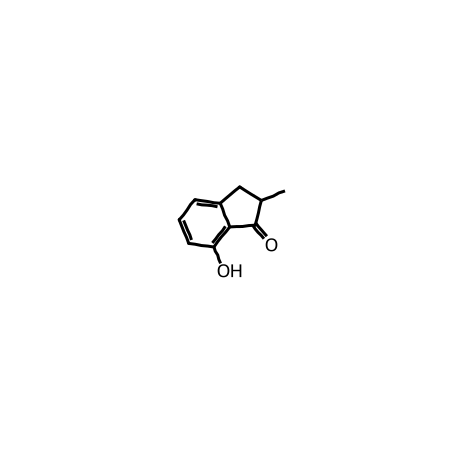 CC1Cc2cccc(O)c2C1=O